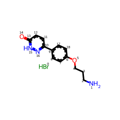 Br.NCCCOc1ccc(-c2ccc(=O)[nH]n2)cc1